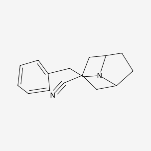 N#CC1CC2CCC(C1)N2CCc1ccccc1